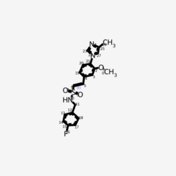 COc1cc(/C=C/S(=O)(=O)NCc2ccc(F)cc2)ccc1-n1cnc(C)c1